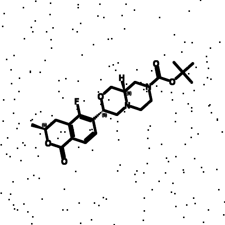 C[C@H]1Cc2c(ccc([C@H]3CN4CCN(C(=O)OC(C)(C)C)C[C@H]4CO3)c2F)C(=O)O1